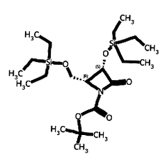 CC[Si](CC)(CC)OC[C@@H]1[C@H](O[Si](CC)(CC)CC)C(=O)N1C(=O)OC(C)(C)C